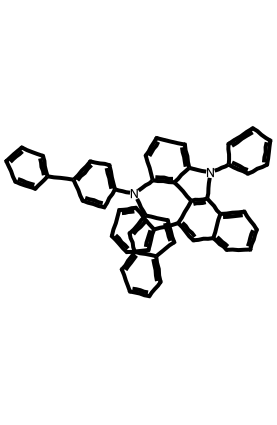 c1ccc(-c2ccc(N(c3ccc4ccccc4c3)c3cccc4c3c3c(-c5ccccc5)cc5ccccc5c3n4-c3ccccc3)cc2)cc1